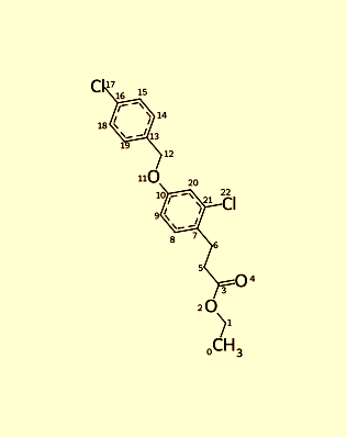 CCOC(=O)CCc1ccc(OCc2ccc(Cl)cc2)cc1Cl